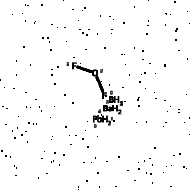 B.FOF.[BaH2].[PbH2]